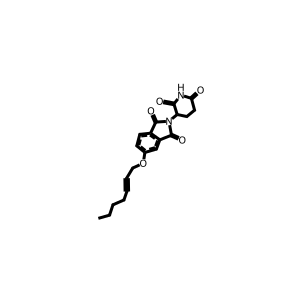 CCCCC#CCOc1ccc2c(c1)C(=O)N(C1CCC(=O)NC1=O)C2=O